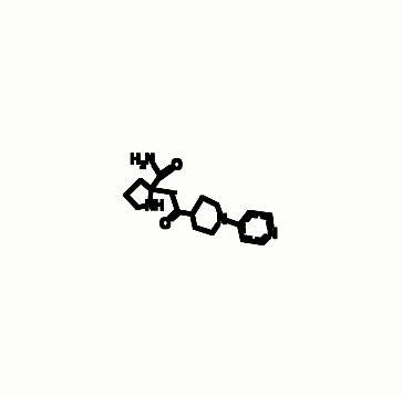 NC(=O)C1([CH]C(=O)C2CCN(c3ccncc3)CC2)CCCN1